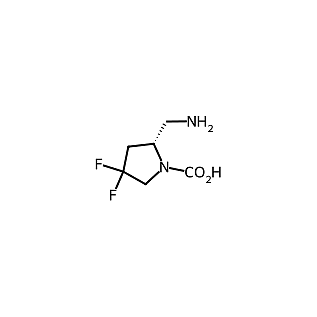 NC[C@H]1CC(F)(F)CN1C(=O)O